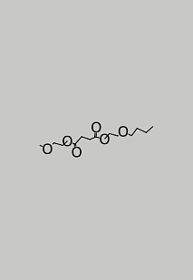 CCCCOCCOC(=O)CCC(=O)OCCOC